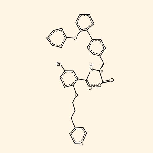 COC(=O)[C@H](Cc1ccc(-c2ccccc2Oc2ccccc2)cc1)NC(=O)c1cc(Br)ccc1OCCCc1ccncc1